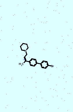 C/C(=C/CN1CCCCC1)c1ccc(-c2ccc(Br)cc2)cc1